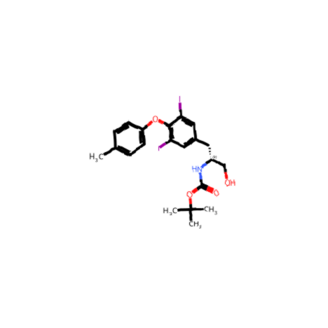 Cc1ccc(Oc2c(I)cc(C[C@H](CO)NC(=O)OC(C)(C)C)cc2I)cc1